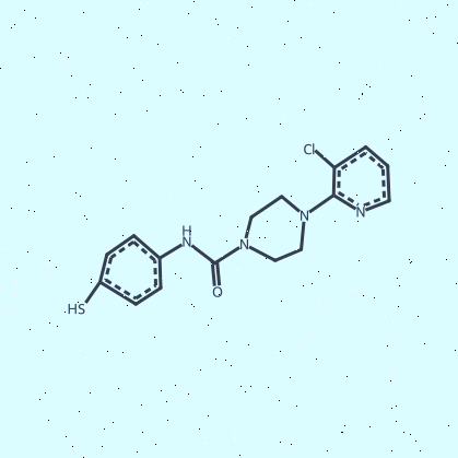 O=C(Nc1ccc(S)cc1)N1CCN(c2ncccc2Cl)CC1